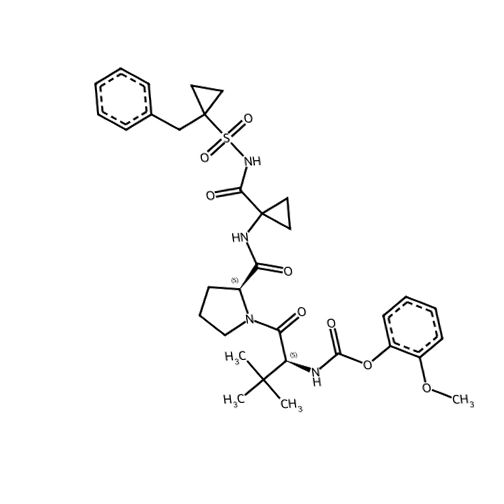 COc1ccccc1OC(=O)N[C@H](C(=O)N1CCC[C@H]1C(=O)NC1(C(=O)NS(=O)(=O)C2(Cc3ccccc3)CC2)CC1)C(C)(C)C